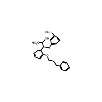 O=C(O)c1cccc(SC(c2ccccc2OCCCc2ccccc2)C(O)C(=O)O)c1